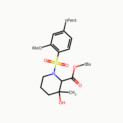 CCCCCc1ccc(S(=O)(=O)N2CCCC(C)(O)C2C(=O)OC(C)(C)C)c(OC)c1